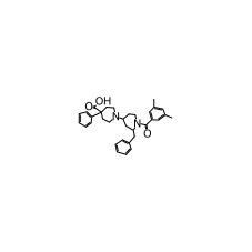 Cc1cc(C)cc(C(=O)N2CCC(N3CCC(C(=O)O)(c4ccccc4)CC3)CC2Cc2ccccc2)c1